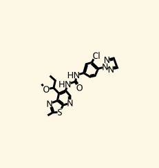 CCC(OC)c1c(NC(=O)Nc2ccc(-n3nccn3)c(Cl)c2)cnc2sc(C)nc12